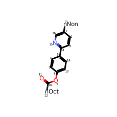 CCCCCCCCCc1ccc(-c2ccc(OC(=O)CCCCCCCC)cc2)nc1